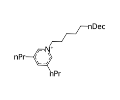 CCCCCCCCCCCCCCC[n+]1cc(CCC)cc(CCC)c1